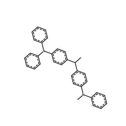 CC(c1ccc(N(C)c2ccccc2)cc1)c1ccc(N(c2ccccc2)c2ccccc2)cc1